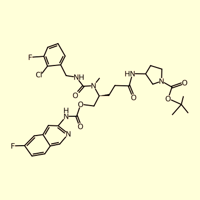 CN(C(=O)NCc1cccc(F)c1Cl)[C@@H](CCC(=O)NC1CCN(C(=O)OC(C)(C)C)C1)COC(=O)Nc1cc2cc(F)ccc2cn1